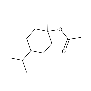 CC(=O)OC1(C)CCC(C(C)C)CC1